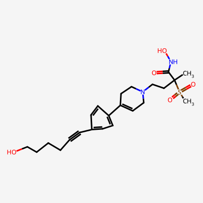 CC(CCN1CC=C(c2ccc(C#CCCCCO)cc2)CC1)(C(=O)NO)S(C)(=O)=O